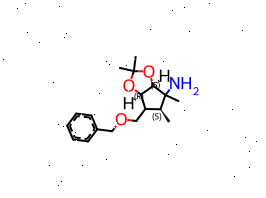 C[C@H]1C(COCc2ccccc2)[C@H]2OC(C)(C)O[C@H]2C1(C)N